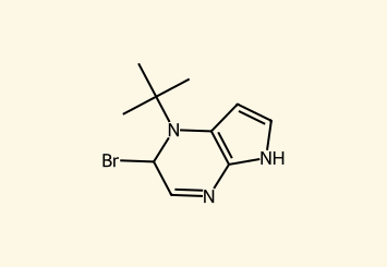 CC(C)(C)N1c2cc[nH]c2N=CC1Br